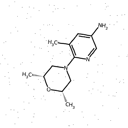 Cc1cc(N)cnc1N1C[C@@H](C)O[C@@H](C)C1